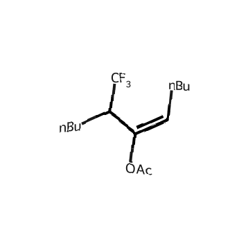 CCCCC=C(OC(C)=O)C(CCCC)C(F)(F)F